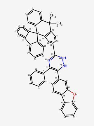 CC1(C)c2ccccc2C2(c3ccccc3-c3ccccc32)c2cc(C3=NC(c4ccccc4)=C(c4ccc5c(c4)oc4ccccc45)NN3)ccc21